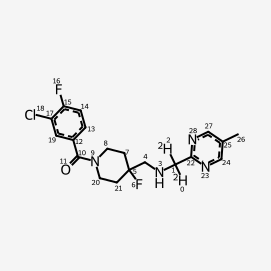 [2H]C([2H])(NCC1(F)CCN(C(=O)c2ccc(F)c(Cl)c2)CC1)c1ncc(C)cn1